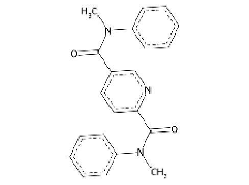 CN(C(=O)c1ccc(C(=O)N(C)c2ccccc2)nc1)c1ccccc1